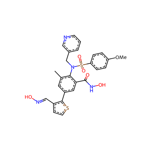 COc1ccc(S(=O)(=O)N(Cc2cccnc2)c2c(C)cc(-c3sccc3C=NO)cc2C(=O)NO)cc1